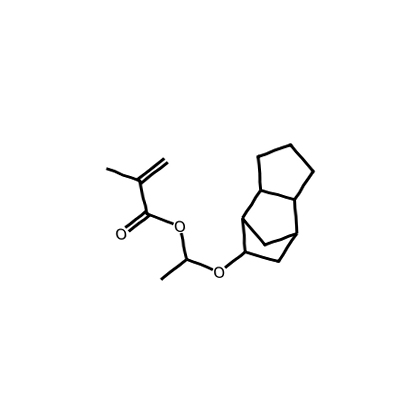 C=C(C)C(=O)OC(C)OC1CC2CC1C1CCCC21